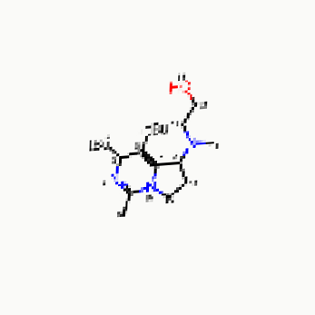 CC1=NC(C(C)(C)C)C(C(C)(C)C)=C2C(N(C)CCO)CCN12